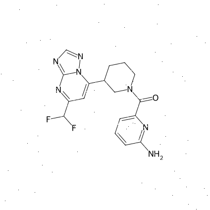 Nc1cccc(C(=O)N2CCCC(c3cc(C(F)F)nc4ncnn34)C2)n1